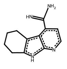 N=C(N)c1ccnc2[nH]c3c(c12)CCCC3